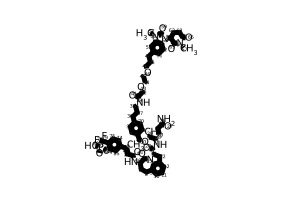 C/C(=C\C(=O)N[C@H]1CCc2cccc3c2N(C1=O)[C@H](C(=O)N[C@@H](CCC(N)=O)[C@@H](C)OCc1ccc(CCCNC(=O)COCCOCCCc2ccc4c(c2)n(C)c(=O)n4C2CCC(=O)N(C)C2=O)cc1)C3)c1ccc(C(F)(F)P(=O)(O)O)cc1